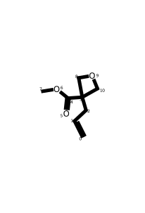 C=CCC1(C(=O)OC)COC1